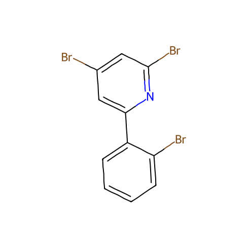 Brc1cc(Br)nc(-c2ccccc2Br)c1